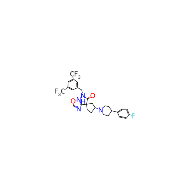 O=C(NCc1cc(C(F)(F)F)cc(C(F)(F)F)c1)C1(c2ncon2)CCC(N2CCC(c3ccc(F)cc3)CC2)C1